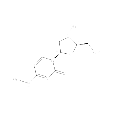 O=c1nc(NO)ccn1[C@H]1C[C@H](O)[C@@H](CO)O1